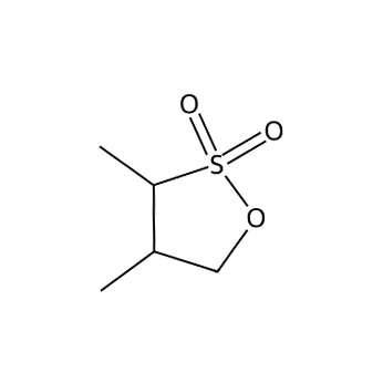 CC1COS(=O)(=O)C1C